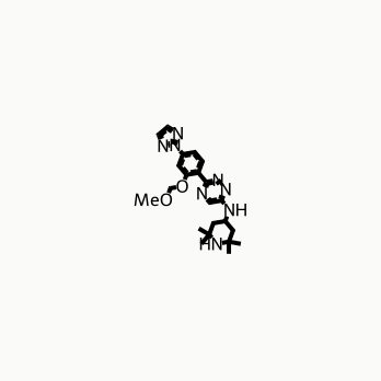 COCOc1cc(-n2nccn2)ccc1-c1ncc(NC2CC(C)(C)NC(C)(C)C2)nn1